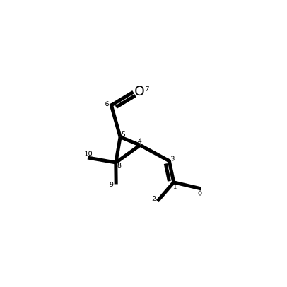 CC(C)=CC1C(C=O)C1(C)C